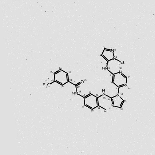 CCn1nccc1Nc1cc(-n2ccnc2Nc2cc(NC(=O)c3cccc(C(F)(F)F)c3)ccc2C)ncn1